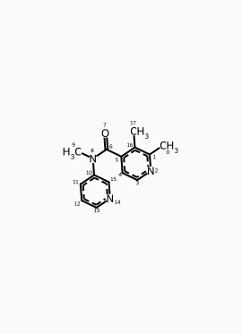 Cc1nccc(C(=O)N(C)c2cccnc2)c1C